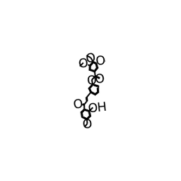 COc1ccc(C(=O)/C=C/c2cccc(OC(=O)c3cc(OC)c(OC)c(OC)c3)c2)c(O)c1